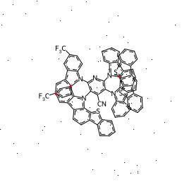 N#Cc1c(-n2c3ccccc3c3ccc4c5ccccc5sc4c32)c(-n2c3ccc(C(F)(F)F)cc3c3cc(C(F)(F)F)ccc32)nc(-n2c3ccccc3c3ccc4c5ccccc5sc4c32)c1-n1c2ccccc2c2ccc3c4ccccc4sc3c21